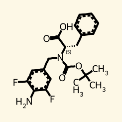 CC(C)(C)OC(=O)N(Cc1cc(F)c(N)c(F)c1)[C@@H](Cc1ccccc1)C(=O)O